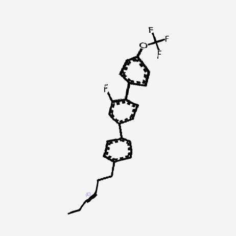 CC/C=C/CCc1ccc(-c2ccc(-c3ccc(OC(F)(F)F)cc3)c(F)c2)cc1